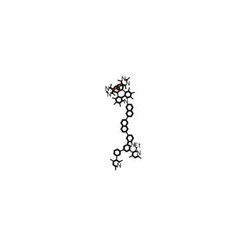 CCn1c2ccc(-c3ccc4ccc(-c5ccc6ccc(-n7c8c(C)c(C)c(C)c(-c9cccc(-c%10c(C)ncnc%10C)c9)c8c8c(-c9cccc(-c%10c(C)nc(C)nc%10C)c9)c(C)c(C)c(C)c87)cc6c5)cc4c3)cc2c2cc(-c3cccc(-c4c(C)cc(C)nc4C)c3)cc(-c3c(C)cc(C)nc3C)c21